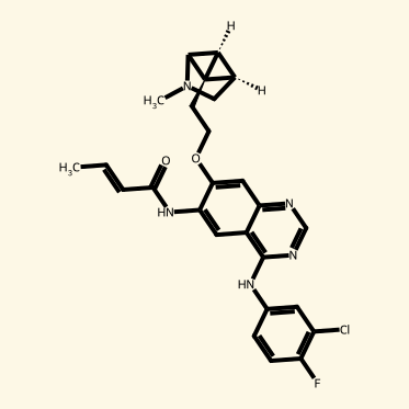 C/C=C/C(=O)Nc1cc2c(Nc3ccc(F)c(Cl)c3)ncnc2cc1OCC[C@@]12C3[C@H]1[C@H]2CN3C